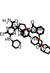 CCc1nc(C(N)=O)c(Nc2ccc(N3CCC(N4CC5CCC(C4)N5C(=O)CNc4cccc5c4CN(C4CCC(=O)NC4=O)C5=O)CC3)c(OC)c2)nc1NC1CCOCC1